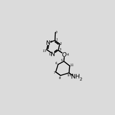 Cc1cc(OC2CCCC(N)C2)ncn1